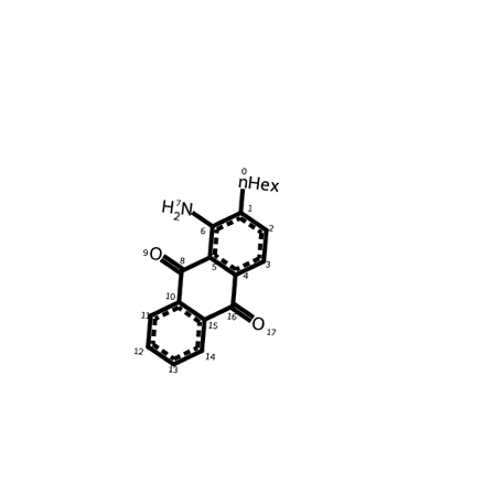 CCCCCCc1ccc2c(c1N)C(=O)c1ccccc1C2=O